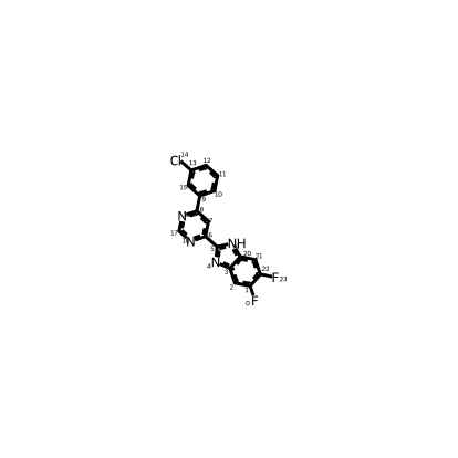 Fc1cc2nc(-c3cc(-c4cccc(Cl)c4)ncn3)[nH]c2cc1F